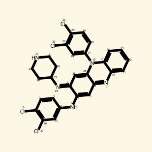 Clc1ccc(Nc2cc3nc4ccccc4n(-c4ccc(Cl)c(Cl)c4)c-3cc2=NC2CCNCC2)cc1Cl